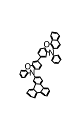 c1ccc(N2c3cc(-c4ccc5c(c4)Oc4ccccc4N5c4ccc5c6ccccc6c6ccccc6c5c4)ccc3Oc3c2ccc2ccccc32)cc1